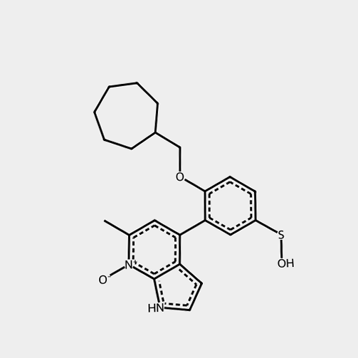 Cc1cc(-c2cc(SO)ccc2OCC2CCCCCC2)c2cc[nH]c2[n+]1[O-]